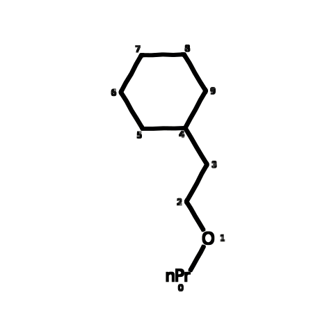 CCCOCCC1CCCCC1